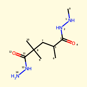 CNNC(=O)C(C)CC(C)(C)C(=O)NN